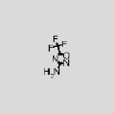 Nc1noc(C(F)(F)F)n1